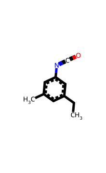 CCc1cc(C)cc(N=C=O)c1